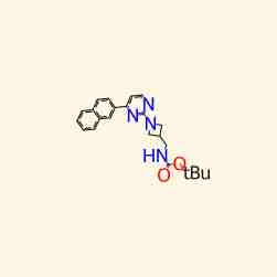 CC(C)(C)OC(=O)NCC1CN(c2nccc(-c3ccc4ccccc4c3)n2)C1